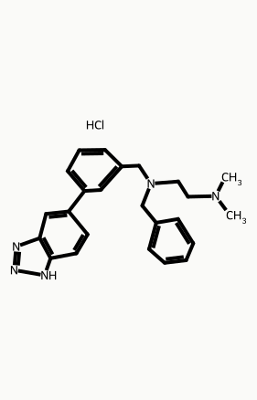 CN(C)CCN(Cc1ccccc1)Cc1cccc(-c2ccc3[nH]nnc3c2)c1.Cl